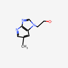 Cc1cnc2ncn(CC[O])c2c1